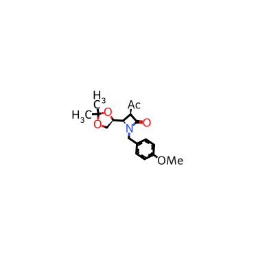 COc1ccc(CN2C(=O)[C@H](C(C)=O)[C@H]2[C@H]2COC(C)(C)O2)cc1